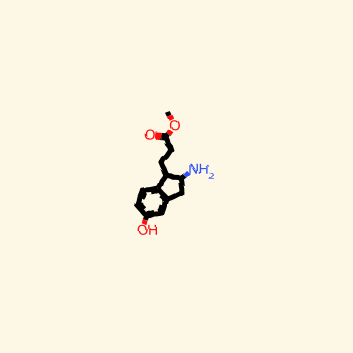 COC(=O)CCC1c2ccc(O)cc2CC1N